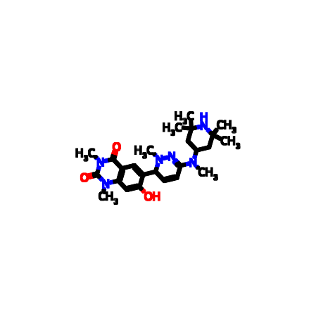 CN1N=C(N(C)C2CC(C)(C)NC(C)(C)C2)C=CC1c1cc2c(=O)n(C)c(=O)n(C)c2cc1O